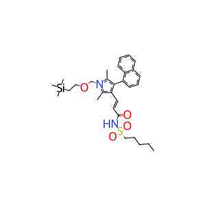 CCCCCS(=O)(=O)NC(=O)C=Cc1c(-c2cccc3ccccc23)c(C)n(COCC[Si](C)(C)C)c1C